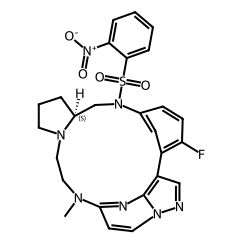 CN1CCN2CCC[C@H]2CN(S(=O)(=O)c2ccccc2[N+](=O)[O-])c2ccc(F)c(c2)-c2cnn3ccc1nc23